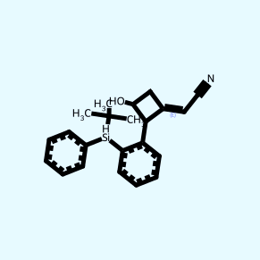 CC(C)(C)[SiH](c1ccccc1)c1ccccc1C1/C(=C/C#N)CC1O